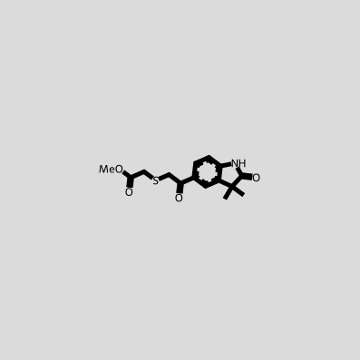 COC(=O)CSCC(=O)c1ccc2c(c1)C(C)(C)C(=O)N2